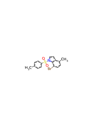 Cc1ccc(S(=O)(=O)n2ccc3c(C)ccc(Br)c32)cc1